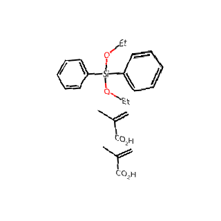 C=C(C)C(=O)O.C=C(C)C(=O)O.CCO[Si](OCC)(c1ccccc1)c1ccccc1